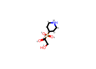 O=C(CO)S(=O)(=O)C1CCNCC1